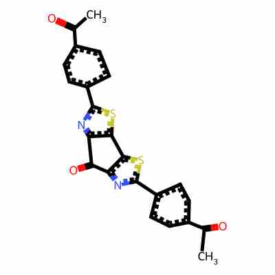 CC(=O)c1ccc(-c2nc3c(s2)-c2sc(-c4ccc(C(C)=O)cc4)nc2C3=O)cc1